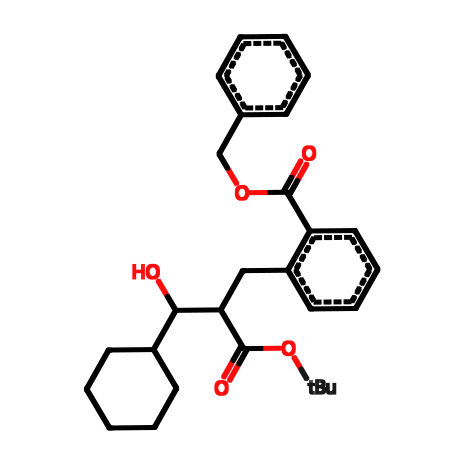 CC(C)(C)OC(=O)C(Cc1ccccc1C(=O)OCc1ccccc1)C(O)C1CCCCC1